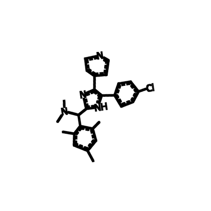 Cc1cc(C)c(C(c2nc(-c3ccncc3)c(-c3ccc(Cl)cc3)[nH]2)N(C)C)c(C)c1